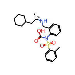 Cc1ccccc1S(=O)(=O)N(C(=O)O)c1ccccc1CN[C@@H](C)CC1CCCCC1